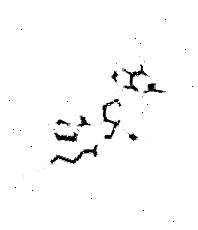 C#C[C@]1(COC(=O)CCCCCCCCCCCCC)O[C@@H](n2cnc3c(N)nc(F)nc32)C[C@@H]1OC(=O)n1ccnc1